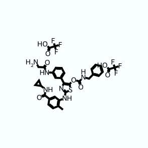 Cc1ccc(C(=O)NC2CC2)cc1Nc1nc(-c2cccc(NC(=O)CN)c2)c(OC(=O)NCc2ccccc2)s1.O=C(O)C(F)(F)F.O=C(O)C(F)(F)F